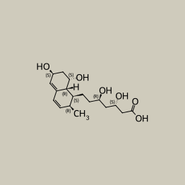 C[C@H]1C=CC2=C[C@@H](O)C[C@H](O)[C@@H]2[C@H]1CC[C@@H](O)C[C@H](O)CC(=O)O